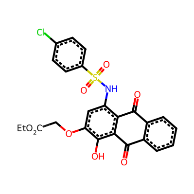 CCOC(=O)COc1cc(NS(=O)(=O)c2ccc(Cl)cc2)c2c(c1O)C(=O)c1ccccc1C2=O